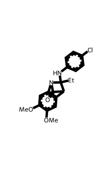 CCC1(Nc2ccc(Cl)cc2)C2C(=O)N1c1cc(OC)c(OC)cc12